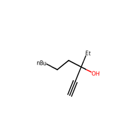 C#CC(O)(CC)CCCCCC